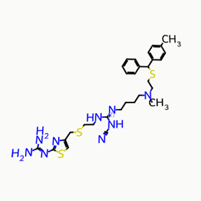 Cc1ccc(C(SCCN(C)CCCC/N=C(\NC#N)NCCSCc2csc(N=C(N)N)n2)c2ccccc2)cc1